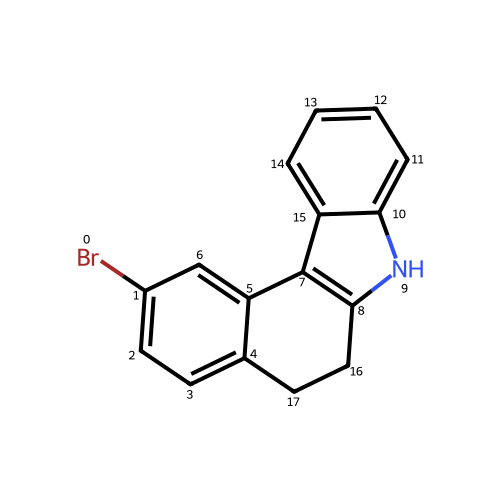 Brc1ccc2c(c1)-c1c([nH]c3ccccc13)CC2